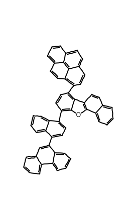 c1ccc2c(c1)cc(-c1ccc(-c3ccc(-c4ccc5ccc6cccc7ccc4c5c67)c4c3oc3c5ccccc5ccc34)c3ccccc13)c1ccccc12